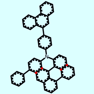 c1ccc(-c2ccc(N(c3ccc(-c4cc5ccccc5c5ccccc45)cc3)c3ccccc3-c3cccc4cccc(-c5ccccc5)c34)cc2)cc1